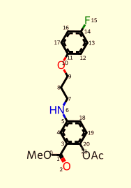 COC(=O)c1cc(NCCCOc2ccc(F)cc2)ccc1OC(C)=O